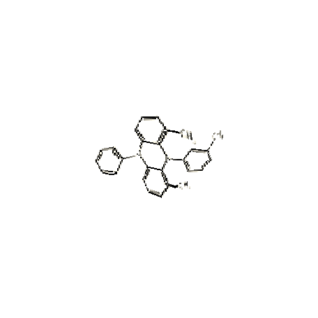 Cc1cccc(N2c3c(C)cccc3N(c3ccccc3)c3cccc(C)c32)c1